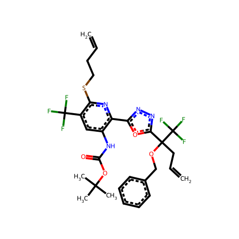 C=CCCSc1nc(-c2nnc(C(CC=C)(OCc3ccccc3)C(F)(F)F)o2)c(NC(=O)OC(C)(C)C)cc1C(F)(F)F